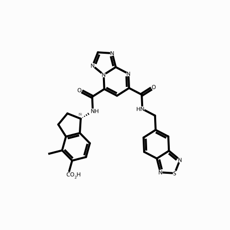 Cc1c(C(=O)O)ccc2c1CC[C@@H]2NC(=O)c1cc(C(=O)NCc2ccc3nsnc3c2)nc2ncnn12